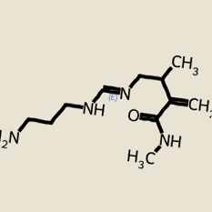 C=C(C(=O)NC)C(C)C/N=C/NCCCN